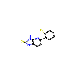 S=c1[nH]c2ccc(-c3ccccc3S)nc2[nH]1